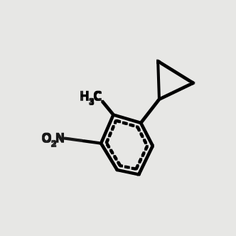 Cc1c(C2CC2)cccc1[N+](=O)[O-]